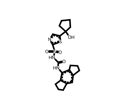 O=C(Nc1c2c(cc3c1CCC3)CCC2)NS(=O)(=O)c1ncc(C2(O)CCCC2)s1